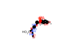 C[C@]12C=CC(=O)C=C1CC[C@@H]1[C@@H]2[C@@H](O)C[C@@]2(C)[C@H]1C[C@H]1O[C@@H](c3cccc(C(=O)Nc4ccc(NC(=O)C(CCC(=O)O)NC(=O)CNC(=O)CBr)cc4)c3)O[C@]12C(=O)COP(=O)(O)O